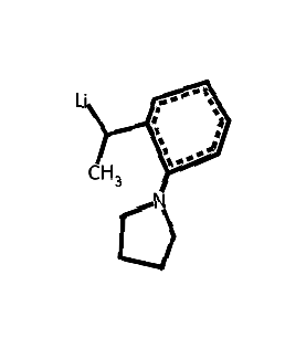 [Li][CH](C)c1ccccc1N1CCCC1